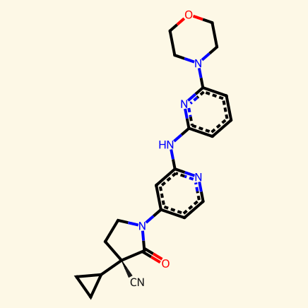 N#C[C@@]1(C2CC2)CCN(c2ccnc(Nc3cccc(N4CCOCC4)n3)c2)C1=O